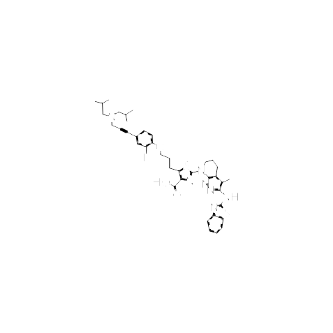 Cc1c(Nc2nc3ccccc3s2)nnc2c1CCCN2c1nc(C(=O)O)c(CCCOc2ccc(C#CCN(CC(C)C)CC(C)C)cc2F)s1